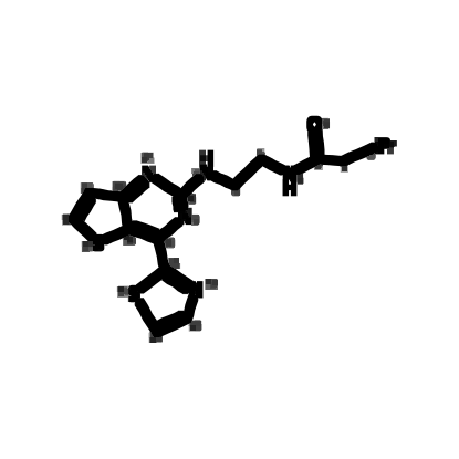 CC(C)CC(=O)NCCNc1nc(-c2nccs2)c2sccc2n1